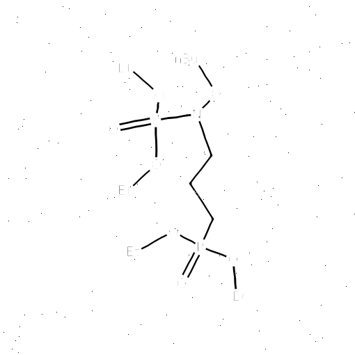 CCCCON(CCCP(=O)(OCC)OCC)P(=O)(OCC)OCC